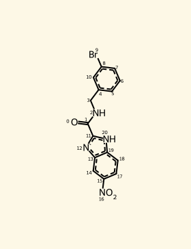 O=C(NCc1cccc(Br)c1)c1nc2cc([N+](=O)[O-])ccc2[nH]1